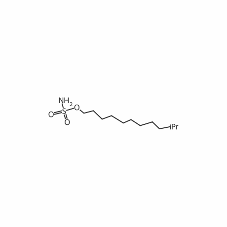 CC(C)CCCCCCCCCOS(N)(=O)=O